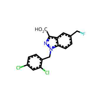 O=C(O)c1nn(Cc2ccc(Cl)cc2Cl)c2ccc(CF)cc12